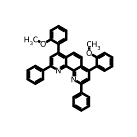 COc1ccccc1-c1cc(-c2ccccc2)nc2c1ccc1c(-c3ccccc3OC)cc(-c3ccccc3)nc12